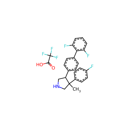 CC1(c2ccc(F)cc2)CNCC1c1ccc(-c2c(F)cccc2F)cc1.O=C(O)C(F)(F)F